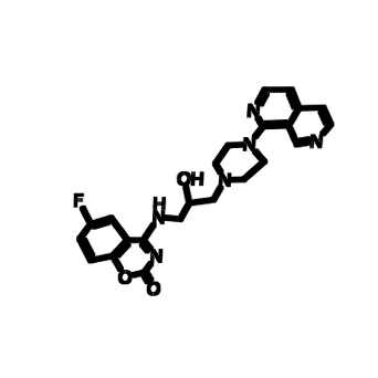 O=c1nc(NCC(O)CN2CCN(c3nccc4ccncc34)CC2)c2cc(F)ccc2o1